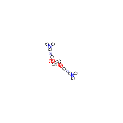 O=C(Oc1cccc2c1C1(CCc3cccc(OOCc4ccc(/C=C/c5ccc(N(c6ccccc6)c6ccccc6)cc5)cc4)c31)CC2)c1ccc(/C=C/c2ccc(N(c3ccccc3)c3ccccc3)cc2)cc1